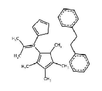 CC1=C(C)C(C)[C]([Zr]([C]2=CC=CC2)=[C](C)C)=C1C.c1ccc(CCc2ccccc2)cc1